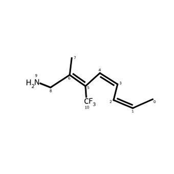 C\C=C/C=C\C(=C(/C)CN)C(F)(F)F